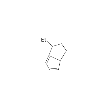 CCC1CCC2C=CC=C21